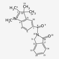 CC1=[N+](C)c2ccc(C(=O)N3Cc4ccccc4C3=O)cc2C1(C)C